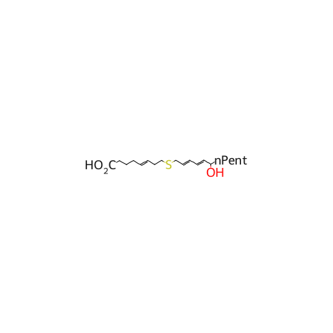 CCCCCC(O)C=CC=CCSCCC=CCCCC(=O)O